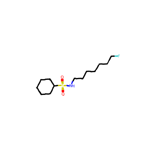 O=S(=O)(NCCCCCCCF)C1CCCCC1